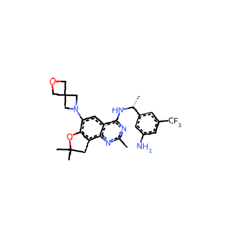 Cc1nc(N[C@H](C)c2cc(N)cc(C(F)(F)F)c2)c2cc(N3CC4(COC4)C3)c3c(c2n1)CC(C)(C)O3